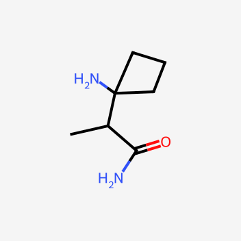 CC(C(N)=O)C1(N)CCC1